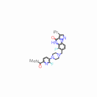 CNC(=O)c1ccc(N2CCN(Cc3ccc4c([nH]c(=O)c5c(C(C)C)cnn54)c3F)CC2)c(F)n1